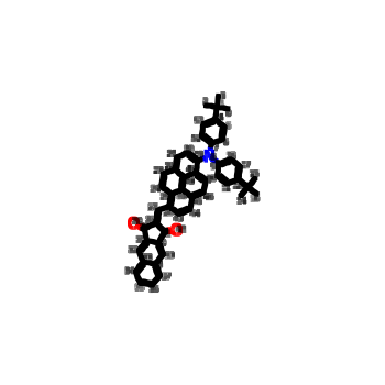 CC(C)(C)c1ccc(N(c2ccc(C(C)(C)C)cc2)c2ccc3ccc4c(C=C5C(=O)c6cc7ccccc7cc6C5=O)ccc5ccc2c3c54)cc1